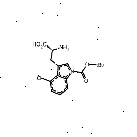 CC(C)(C)OC(=O)n1cc(C[C@H](N)C(=O)O)c2c(Cl)cccc21